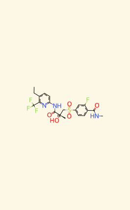 CCc1ccc(NC(=O)[C@@](C)(O)CS(=O)(=O)c2ccc(C(=O)NC)c(F)c2)nc1C(F)(F)F